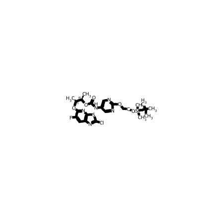 C[C@H](Oc1nc2sc(Cl)nc2cc1F)[C@@H](C)OC(=O)Nc1cnc(OCCO[Si](C)(C)C(C)(C)C)nc1